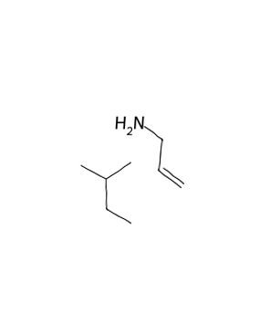 C=CCN.CCC(C)C